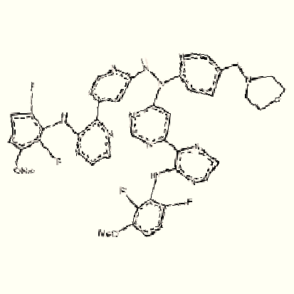 COc1ccc(F)c(Nc2nccnc2-c2cc(NN(c3ccc(CN4CCOCC4)cn3)c3cc(-c4nccnc4Nc4c(F)ccc(OC)c4F)ncn3)ncn2)c1F